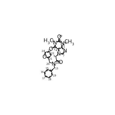 Cn1c(=O)c2c(ncn2CC(=O)N(Cc2ccccc2)Cc2ccco2)n(C)c1=O